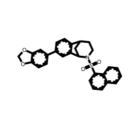 O=S(=O)(c1cccc2ccccc12)N1CCC2CC1c1cc(-c3ccc4c(c3)OCO4)ccc12